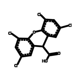 O=C(O)C1c2cc(Cl)cc(Cl)c2Oc2c(Cl)cc(Cl)cc21